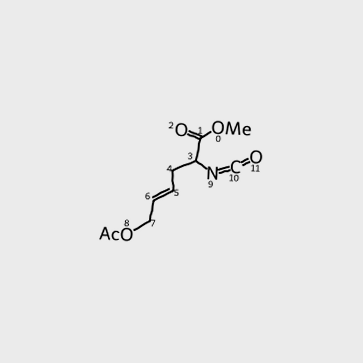 COC(=O)C(C/C=C/COC(C)=O)N=C=O